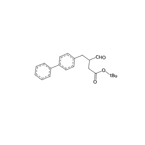 CC(C)(C)OC(=O)CC(C=O)Cc1ccc(-c2ccccc2)cc1